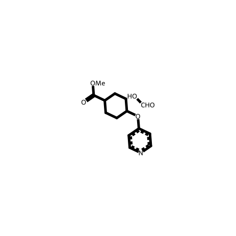 COC(=O)C1CCC(Oc2ccncc2)CC1.O=CO